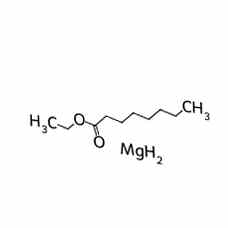 CCCCCCCC(=O)OCC.[MgH2]